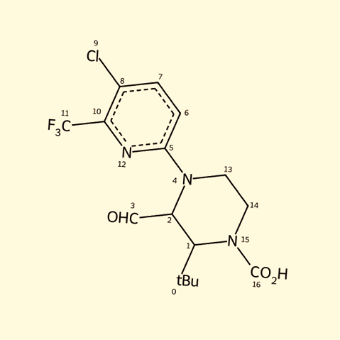 CC(C)(C)C1C(C=O)N(c2ccc(Cl)c(C(F)(F)F)n2)CCN1C(=O)O